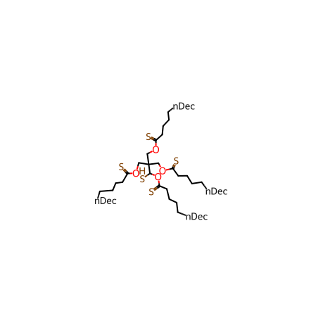 CCCCCCCCCCCCCCC(=S)OCC(COC(=S)CCCCCCCCCCCCCC)(COC(=S)CCCCCCCCCCCCCC)C(S)OC(=S)CCCCCCCCCCCCCC